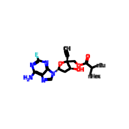 C#C[C@]1(COC(=O)C(CCCC)CCCCCC)O[C@@H](n2cnc3c(N)nc(F)nc32)C[C@@H]1O